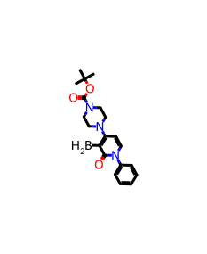 Bc1c(N2CCN(C(=O)OC(C)(C)C)CC2)ccn(-c2ccccc2)c1=O